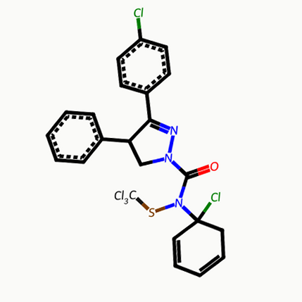 O=C(N1CC(c2ccccc2)C(c2ccc(Cl)cc2)=N1)N(SC(Cl)(Cl)Cl)C1(Cl)C=CC=CC1